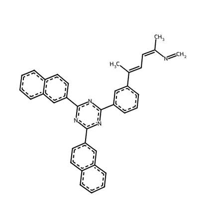 C=N/C(C)=C\C=C(/C)c1cccc(-c2nc(-c3ccc4ccccc4c3)nc(-c3ccc4ccccc4c3)n2)c1